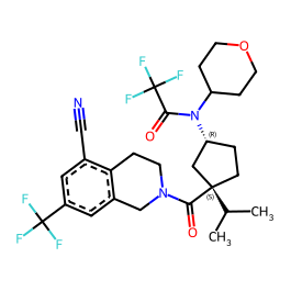 CC(C)[C@]1(C(=O)N2CCc3c(C#N)cc(C(F)(F)F)cc3C2)CC[C@@H](N(C(=O)C(F)(F)F)C2CCOCC2)C1